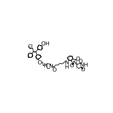 O=C1CCC(N2C(=O)c3cccc(NCCCCCC(=O)N4CCN(CCOc5ccc(C(=C(CCCl)c6ccccc6)c6ccc(O)cc6)cc5)CC4)c3C2=O)C(=O)N1